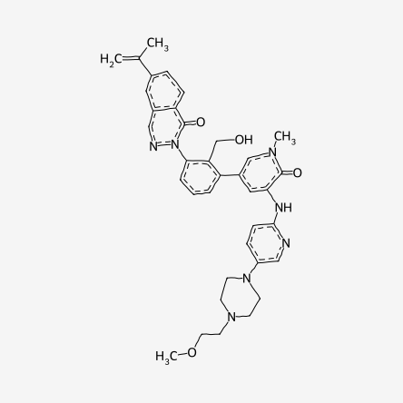 C=C(C)c1ccc2c(=O)n(-c3cccc(-c4cc(Nc5ccc(N6CCN(CCOC)CC6)cn5)c(=O)n(C)c4)c3CO)ncc2c1